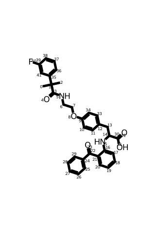 CC(C)(C(=O)NCCOc1ccc(CC(Nc2ccccc2C(=O)c2ccccc2)C(=O)O)cc1)c1cccc(F)c1